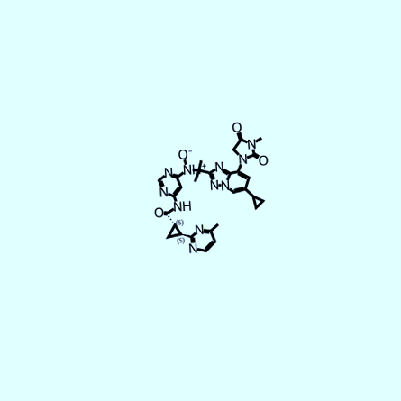 Cc1ccnc([C@H]2C[C@@H]2C(=O)Nc2cc([NH+]([O-])C(C)(C)c3nc4c(N5CC(=O)N(C)C5=O)cc(C5CC5)cn4n3)ncn2)n1